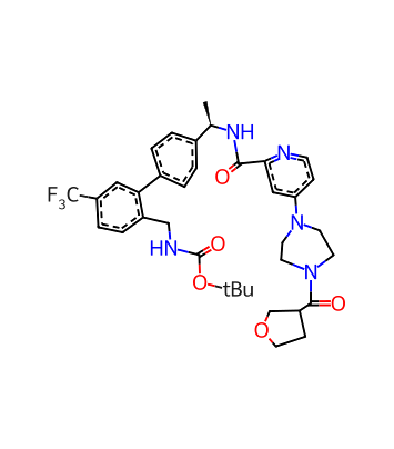 C[C@@H](NC(=O)c1cc(N2CCN(C(=O)C3CCOC3)CC2)ccn1)c1ccc(-c2cc(C(F)(F)F)ccc2CNC(=O)OC(C)(C)C)cc1